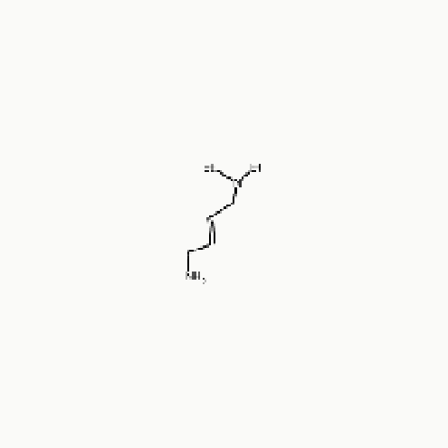 CCN(CC)CC=CCN